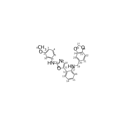 COc1cccc(Nc2ncc(-c3ccccc3NCc3ccc4c(c3)OCO4)o2)c1